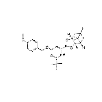 COc1ccc(COCC[C@H](N[S+]([O-])C(C)(C)C)B2O[C@@H]3C[C@@H]4C[C@@H](C4(C)C)[C@]3(C)O2)cc1